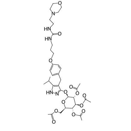 CC(=O)OC[C@H]1O[C@@H](Oc2n[nH]c(C(C)C)c2Cc2ccc(OCCCNC(=O)NCCN3CCOCC3)cc2)[C@H](OC(C)=O)[C@@H](OC(C)=O)[C@@H]1OC(C)=O